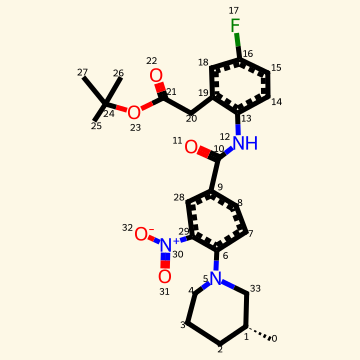 C[C@@H]1CCCN(c2ccc(C(=O)Nc3ccc(F)cc3CC(=O)OC(C)(C)C)cc2[N+](=O)[O-])C1